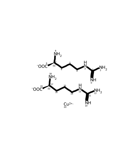 N=C(N)NCCC[C@H](N)C(=O)[O-].N=C(N)NCCC[C@H](N)C(=O)[O-].[Cu+2]